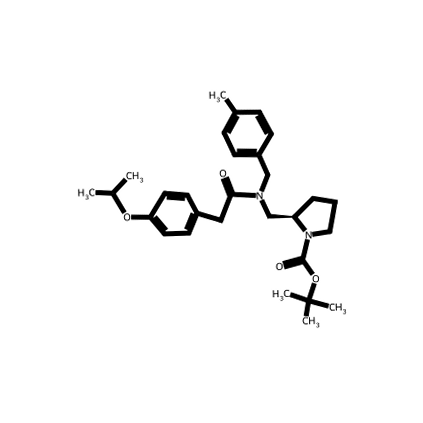 Cc1ccc(CN(C[C@H]2CCCN2C(=O)OC(C)(C)C)C(=O)Cc2ccc(OC(C)C)cc2)cc1